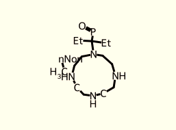 CCC(CC)(P=O)N1CCNCCNCCNCC1.CCCCCCCCCC